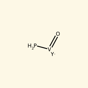 [O]=[V][PH2].[Y]